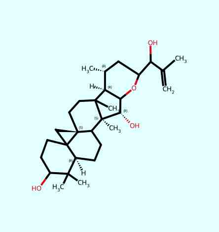 C=C(C)C(O)C1C[C@@H](C)[C@H]2C(O1)[C@H](O)[C@@]1(C)C3CC[C@H]4C(C)(C)C(O)CCC45C[C@@]35CCC21C